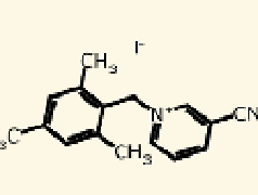 Cc1cc(C)c(C[n+]2cccc(C#N)c2)c(C)c1.[I-]